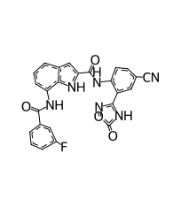 N#Cc1ccc(NC(=O)c2cc3cccc(NC(=O)c4cccc(F)c4)c3[nH]2)c(-c2noc(=O)[nH]2)c1